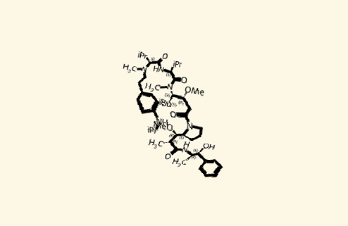 CC[C@H](C)[C@@H]([C@@H](CC(=O)N1CCC[C@H]1[C@H](OC)[C@@H](C)C(=O)N[C@H](C)[C@@H](O)c1ccccc1)OC)N(C)C(=O)[C@@H](NC(=O)[C@H](C(C)C)N(C)CCc1ccc(NC(C)C)cc1)C(C)C